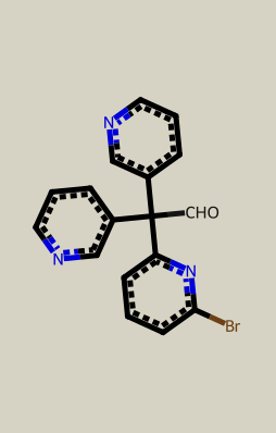 O=CC(c1cccnc1)(c1cccnc1)c1cccc(Br)n1